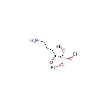 CCO[Si](OCC)(OCC)C(=O)CCCN